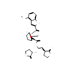 COc1cccc2[nH]c(C(=O)N3[C@@H]4CC[C@H]([C@@H]3C(=O)N[C@H](/C=C3\CCOC3=O)C[C@@H]3CCNC3=O)C(F)(F)C4)cc12